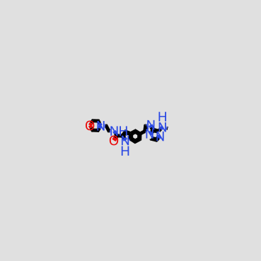 CNc1nccn2c(-c3ccc4[nH]c(C(=O)NCCN5CCOCC5)cc4c3)cnc12